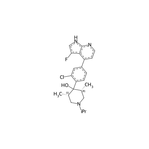 CC(C)N1C[C@@H](C)C(O)(c2ccc(-c3ccnc4[nH]cc(F)c34)cc2Cl)[C@@H](C)C1